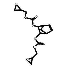 O=C(OCC1CO1)OC1C2C=CC(C2)C1OC(=O)OCC1CO1